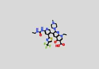 CCNC(=O)Nc1cc(-c2nc(C(F)(F)F)cs2)c(-c2cc3c(=O)c(C(=O)O)cn(CC)c3nc2N2CCN(C)CC2)cn1